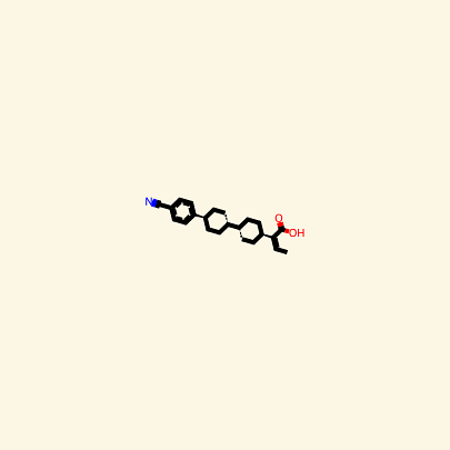 CC=C(C(=O)O)[C@H]1CC[C@H]([C@H]2CC[C@H](c3ccc(C#N)cc3)CC2)CC1